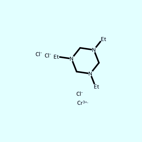 CCN1CN(CC)CN(CC)C1.[Cl-].[Cl-].[Cl-].[Cr+3]